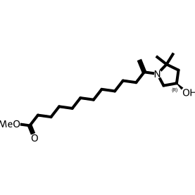 C=C(CCCCCCCCCCC(=O)OC)N1C[C@H](O)CC1(C)C